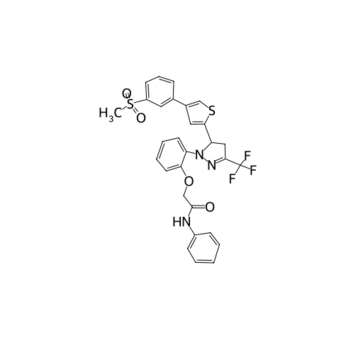 CS(=O)(=O)c1cccc(-c2csc(C3CC(C(F)(F)F)=NN3c3ccccc3OCC(=O)Nc3ccccc3)c2)c1